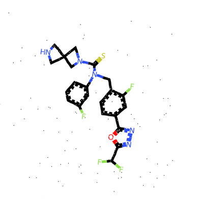 Fc1cccc(N(Cc2ccc(-c3nnc(C(F)F)o3)cc2F)C(=S)N2CC3(CNC3)C2)c1